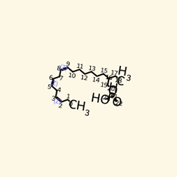 CC/C=C\C/C=C\C/C=C\CCCCCCC(CC)CO[PH](=O)O